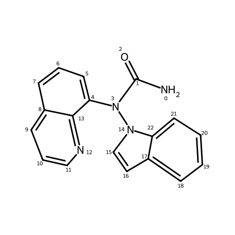 NC(=O)N(c1cccc2cccnc12)n1ccc2ccccc21